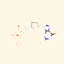 BP(=O)(OC[C@H]1O[C@@H](n2cnc3c(=O)[nH]c(C)nc32)[C@@H](O)C1O)OP(=O)(O)OP(=O)(O)O